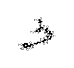 CC(C)(O/N=C(\C(=O)N[C@@H]1C(=O)N2C[C@@](C(=O)O)(N3CCN(NC(=O)C(=O)NCCCCNC(=O)C(=O)c4ccc(O)c(O)c4Cl)C3=O)S[C@H]12)c1csc(N)n1)C(=O)O